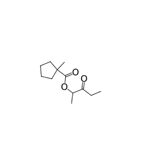 CCC(=O)C(C)OC(=O)C1(C)CCCC1